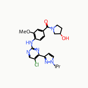 COc1cc(C(=O)N2CC[C@@H](O)C2)ccc1Nc1ncc(Cl)c(-c2ccn(C(C)C)n2)n1